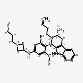 C=CCCN1[C@H](c2c(F)cc(NC3CN(CCCF)C3)cc2OC)c2[nH]c3ccccc3c2C[C@H]1C